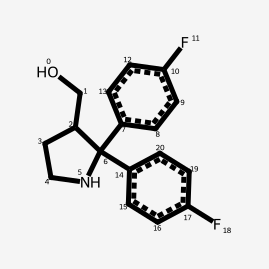 OCC1CCNC1(c1ccc(F)cc1)c1ccc(F)cc1